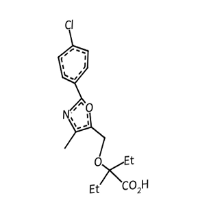 CCC(CC)(OCc1oc(-c2ccc(Cl)cc2)nc1C)C(=O)O